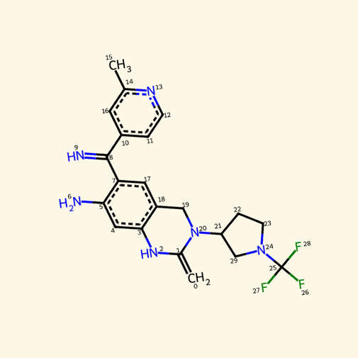 C=C1Nc2cc(N)c(C(=N)c3ccnc(C)c3)cc2CN1C1CCN(C(F)(F)F)C1